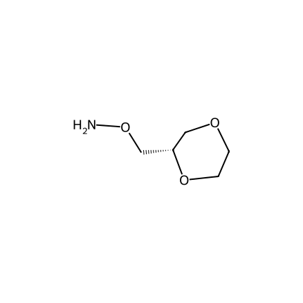 NOC[C@@H]1COCCO1